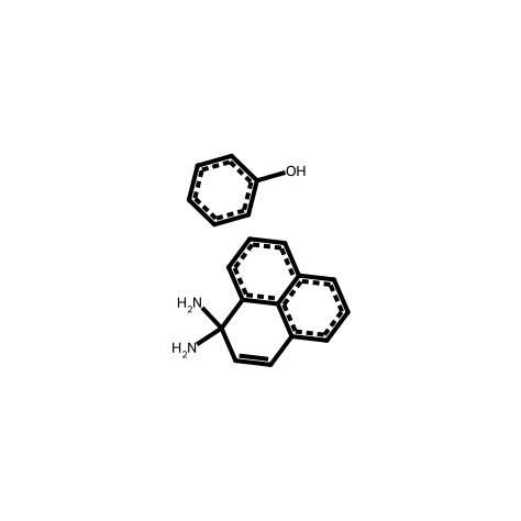 NC1(N)C=Cc2cccc3cccc1c23.Oc1ccccc1